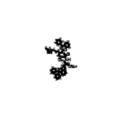 CON=C(C(=O)NC1C(=O)N2C(C(=O)OC(c3ccccc3)c3ccccc3)=C(C=CSc3nnc(C)s3)C[S+]([O-])C12)c1csc(NC(c2ccccc2)(c2ccccc2)c2ccccc2)n1